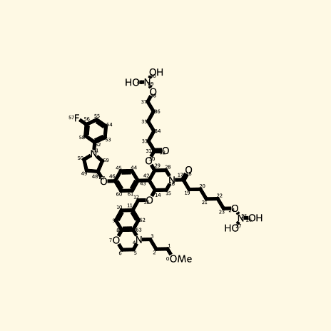 COCCCN1CCOc2ccc(COC3CN(C(=O)CCCCCON(O)O)CC(OC(=O)CCCCCON(O)O)C3c3ccc(OC4CCN(c5cccc(F)c5)C4)cc3)cc21